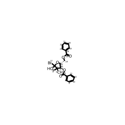 CC1(F)[C@H](OC(=O)c2ccccc2)[C@@H](COC(=O)c2ccccc2)OC1(O)Br